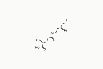 CCCC(=N)CCNC(=O)CC[C@H](N)C(=O)O